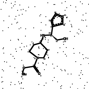 CC(C)(C)OC(=O)N1CCC(N[C@@H](CO)c2ccsc2)CC1